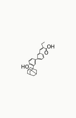 CCC(=Cc1cccc(-c2ccc(O)c(C34CC5CC(CC(C5)C3)C4)c2)c1)C(=O)O